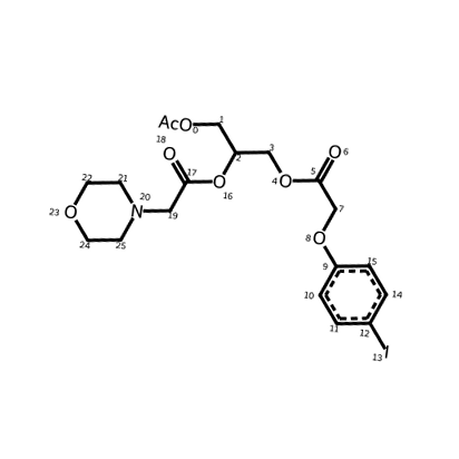 CC(=O)OCC(COC(=O)COc1ccc(I)cc1)OC(=O)CN1CCOCC1